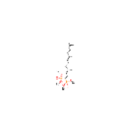 CCOP(=O)(OCC)C(C/C=C(\C)CC/C=C(\C)CCC=C(C)C)P(=O)(OCC)OCC